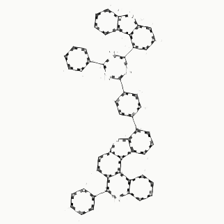 c1ccc(-c2nc(-c3ccc(-c4cccc5c4sc4ccc6c(-c7ccccc7)nc7ccccc7c6c45)cc3)nc(-c3cccc4sc5ccccc5c34)n2)cc1